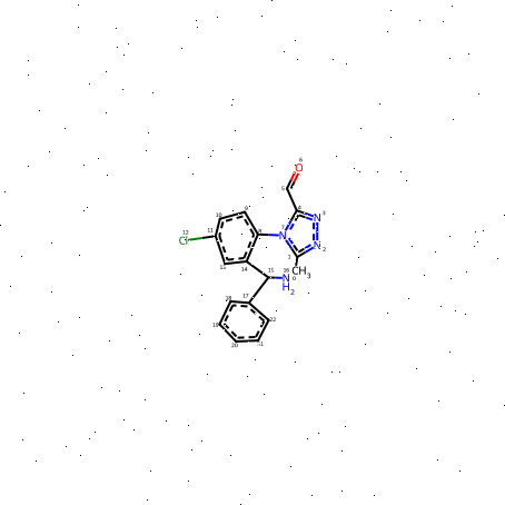 Cc1nnc(C=O)n1-c1ccc(Cl)cc1C(N)c1ccccc1